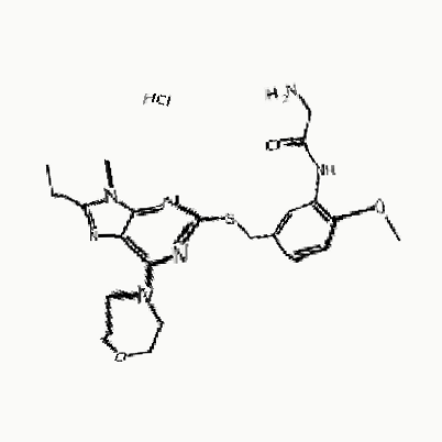 CCc1nc2c(N3CCOCC3)nc(SCc3ccc(OC)c(NC(=O)CN)c3)nc2n1C.Cl